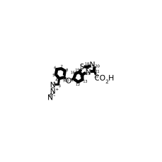 [N-]=[N+]=NCc1ccccc1Oc1ccc2c(c1)sc1ncc(C(=O)O)n12